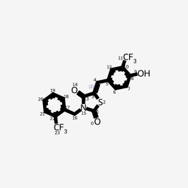 O=C1S/C(=C\c2ccc(O)c(C(F)(F)F)c2)C(=O)N1Cc1ccccc1C(F)(F)F